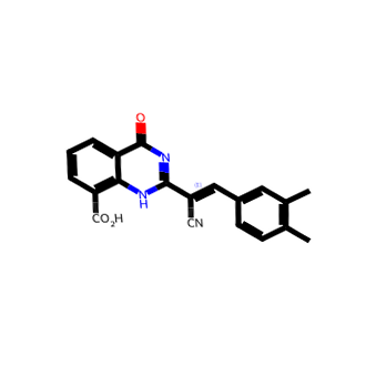 Cc1ccc(/C=C(\C#N)c2nc(=O)c3cccc(C(=O)O)c3[nH]2)cc1C